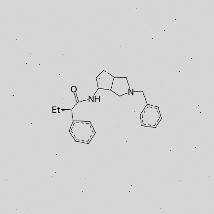 CC[C@@H](C(=O)NC1CCC2CN(Cc3ccccc3)CC21)c1ccccc1